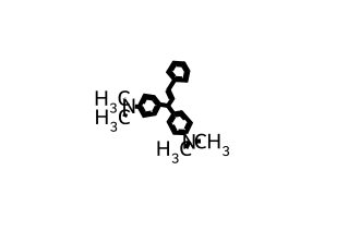 CN(C)c1ccc(C(C=Cc2ccccc2)c2ccc(N(C)C)cc2)cc1